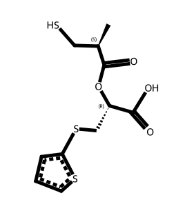 C[C@H](CS)C(=O)O[C@@H](CSc1cccs1)C(=O)O